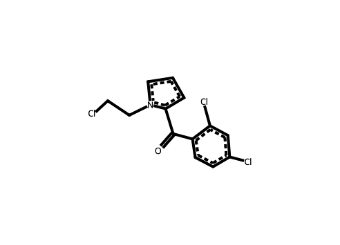 O=C(c1ccc(Cl)cc1Cl)c1cccn1CCCl